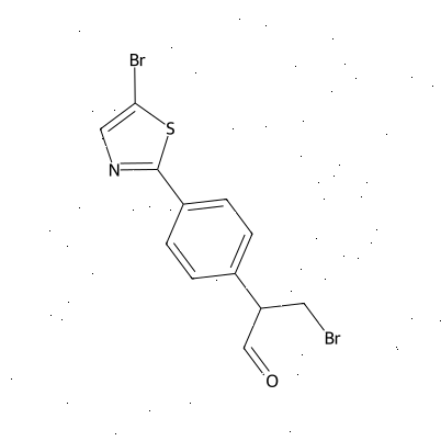 O=CC(CBr)c1ccc(-c2ncc(Br)s2)cc1